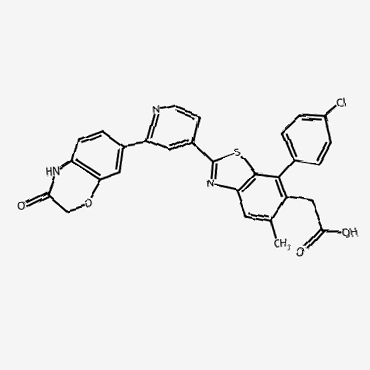 Cc1cc2nc(-c3ccnc(-c4ccc5c(c4)OCC(=O)N5)c3)sc2c(-c2ccc(Cl)cc2)c1CC(=O)O